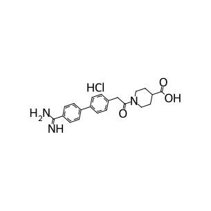 Cl.N=C(N)c1ccc(-c2ccc(CC(=O)N3CCC(C(=O)O)CC3)cc2)cc1